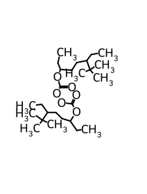 CCC(CCC(CC)C(C)(C)C)OC(=O)OOC(=O)OC(CC)CCC(CC)C(C)(C)C